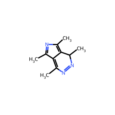 C[C]1N=NC(C)=C2C(C)=NC(C)=C12